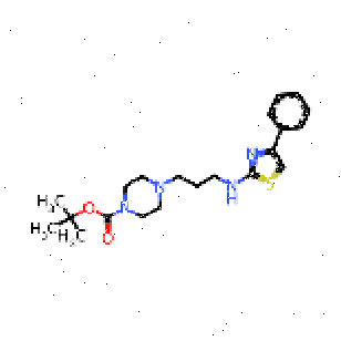 CC(C)(C)OC(=O)N1CCN(CCCNc2nc(-c3ccccc3)cs2)CC1